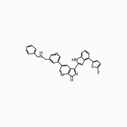 Fc1ccc(-c2cccc3[nH]c(-c4n[nH]c5ncc(-c6cncc(CNCc7ccccc7)c6)cc45)cc23)s1